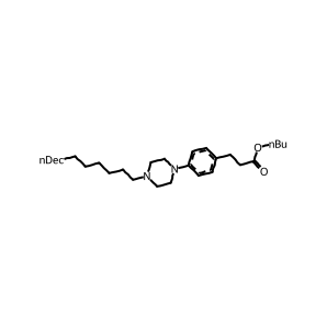 CCCCCCCCCCCCCCCCN1CCN(c2ccc(CCC(=O)OCCCC)cc2)CC1